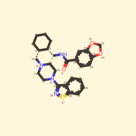 O=C(NC[C@H]1CCCC[C@H]1CN1CCN(c2nsc3ccccc23)CC1)c1ccc2c(c1)OCO2